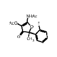 CC(=O)NC1=C(OC(C)=O)C(=O)C(C)(c2ccccc2F)O1